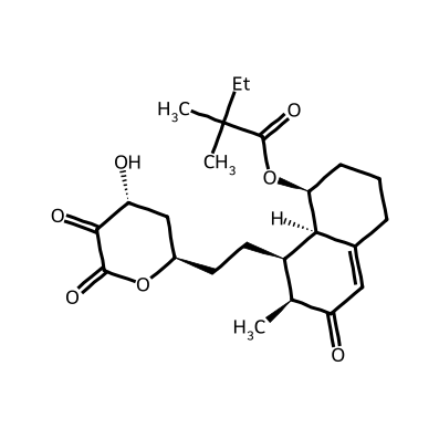 CCC(C)(C)C(=O)O[C@H]1CCCC2=CC(=O)[C@@H](C)[C@@H](CC[C@@H]3C[C@@H](O)C(=O)C(=O)O3)[C@H]21